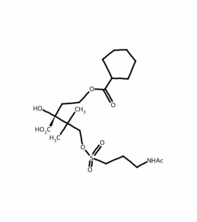 CC(=O)NCCCS(=O)(=O)OCC(C)(C)[C@](O)(CCOC(=O)C1CCCCC1)C(=O)O